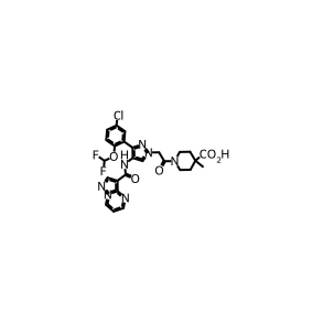 CC1(C(=O)O)CCN(C(=O)Cn2cc(NC(=O)c3cnn4cccnc34)c(-c3cc(Cl)ccc3OC(F)F)n2)CC1